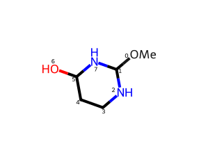 COC1NCCC(O)N1